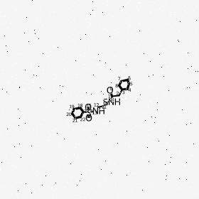 O=C(Cc1ccccc1)NSCCNS(=O)(=O)c1ccccc1